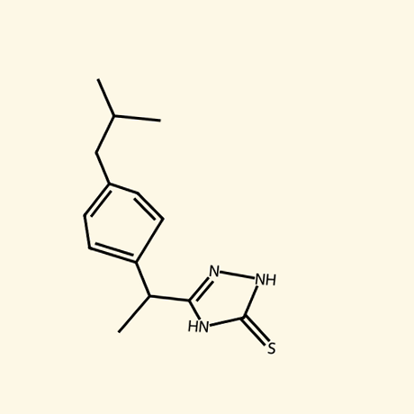 CC(C)Cc1ccc(C(C)c2n[nH]c(=S)[nH]2)cc1